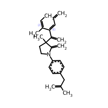 C=C/C=C(C(=C)C1(C)CCN(c2ccc(CC(=C)C)cc2)C1=C)\C(C)=C/C